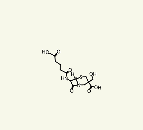 O=C(O)CCCC(=O)NC1C(=O)N2CC(CO)(C(=O)O)CS[C@H]12